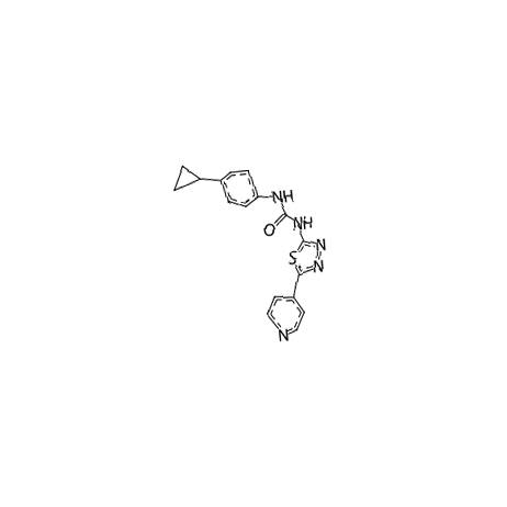 O=C(Nc1ccc(C2CC2)cc1)Nc1nnc(-c2ccncc2)s1